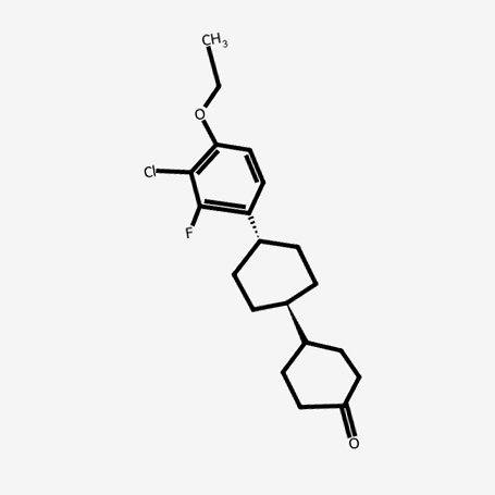 CCOc1ccc([C@H]2CC[C@H](C3CCC(=O)CC3)CC2)c(F)c1Cl